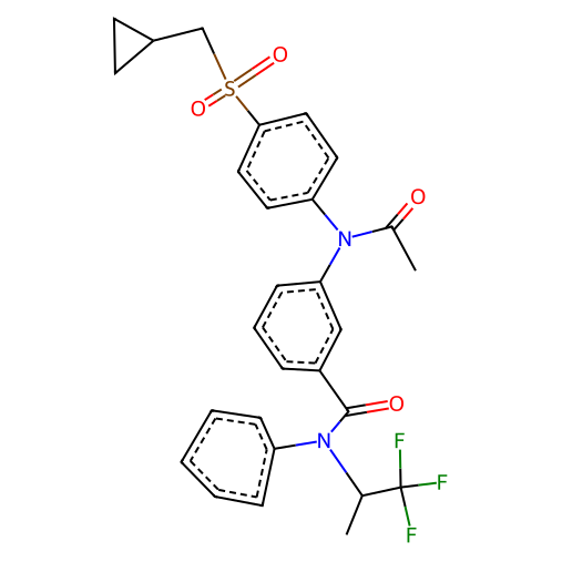 CC(=O)N(c1ccc(S(=O)(=O)CC2CC2)cc1)c1cccc(C(=O)N(c2ccccc2)C(C)C(F)(F)F)c1